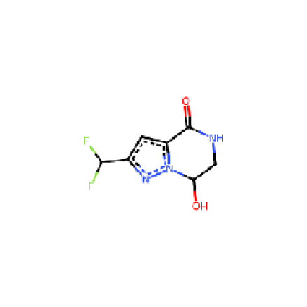 O=C1NCC(O)n2nc(C(F)F)cc21